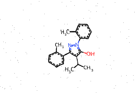 Cc1ccccc1-c1nn(-c2ccccc2C)c(O)c1C(C)C